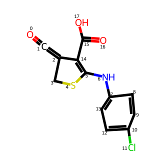 O=C=C1CSC(Nc2ccc(Cl)cc2)=C1C(=O)O